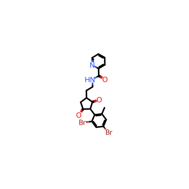 Cc1cc(Br)cc(Br)c1C1C(=O)CC(CCNC(=O)c2ccccn2)C1=O